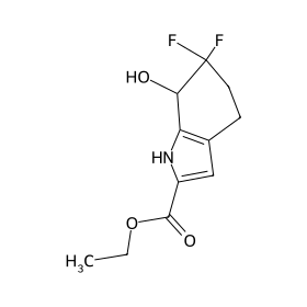 CCOC(=O)c1cc2c([nH]1)C(O)C(F)(F)CC2